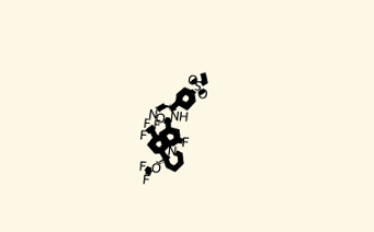 CCS(=O)(=O)c1ccc([C@H](CC#N)NC(=O)c2ccc(N3CCCC[C@@]3(COC(F)F)c3ccc(C(F)(F)F)cc3)c(F)c2)cc1